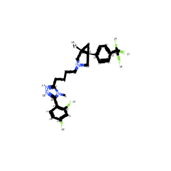 Cn1c(CCCCN2C[C@@H]3C[C@]3(c3ccc(C(F)(F)F)cc3)C2)nnc1-c1ccc(F)cc1F